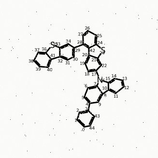 c1ccc(-c2ccc3c(c2)c2ccccc2n3-c2ccc3c(c2)sc2cccc(-c4ccc5c(c4)sc4ccccc45)c23)cc1